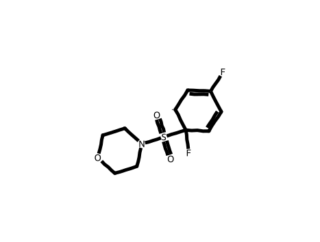 O=S(=O)(N1CCOCC1)C1(F)[CH]C=C(F)C=C1